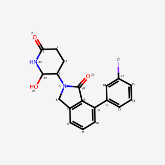 O=C1CCC(N2Cc3cccc(-c4cccc(I)c4)c3C2=O)C(O)N1